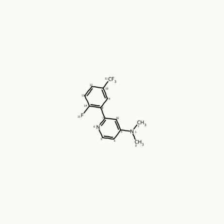 CN(C)c1ccnc(-c2cc(C(F)(F)F)ccc2F)c1